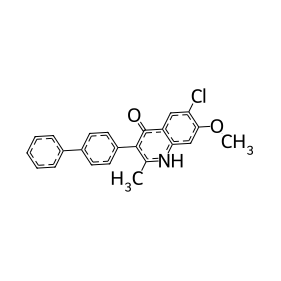 COc1cc2[nH]c(C)c(-c3ccc(-c4ccccc4)cc3)c(=O)c2cc1Cl